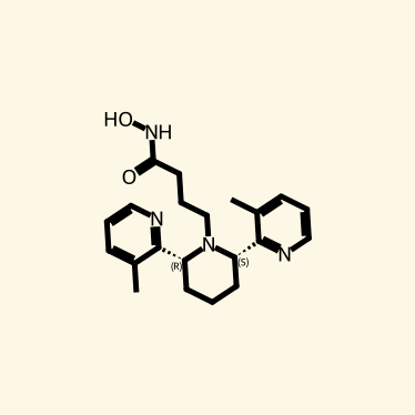 Cc1cccnc1[C@H]1CCC[C@@H](c2ncccc2C)N1CCCC(=O)NO